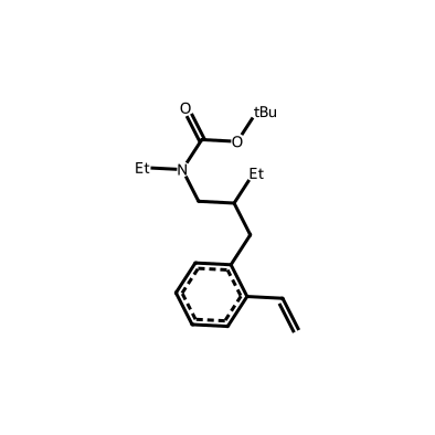 C=Cc1ccccc1CC(CC)CN(CC)C(=O)OC(C)(C)C